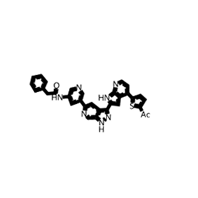 CC(=O)c1ccc(-c2ccnc3[nH]c(-c4n[nH]c5cnc(-c6cncc(NC(=O)Cc7ccccc7)c6)cc45)cc23)s1